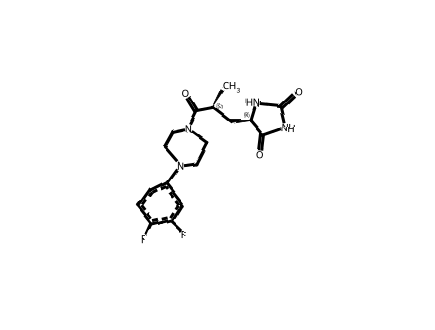 C[C@@H](C[C@H]1NC(=O)NC1=O)C(=O)N1CCN(c2ccc(F)c(F)c2)CC1